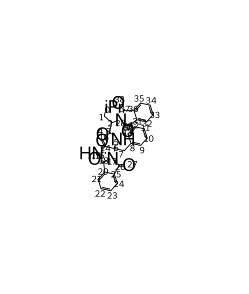 CC(C)CC(C(=O)NC(Cc1ccccc1)(C([NH])=O)N1C(=O)c2ccccc2C1=O)N1C(=O)c2ccccc2C1=O